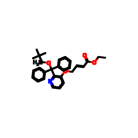 CCOC(=O)C=CCOc1cccnc1C(O[SiH2]C(C)(C)C)(c1ccccc1)c1ccccc1